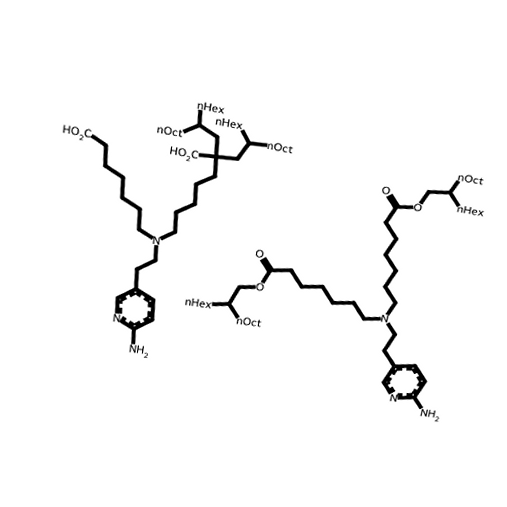 CCCCCCCCC(CCCCCC)CC(CCCCCN(CCCCCCC(=O)O)CCc1ccc(N)nc1)(CC(CCCCCC)CCCCCCCC)C(=O)O.CCCCCCCCC(CCCCCC)COC(=O)CCCCCCN(CCCCCCC(=O)OCC(CCCCCC)CCCCCCCC)CCc1ccc(N)nc1